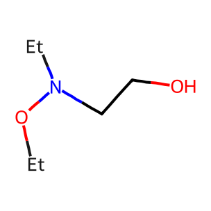 CCON(CC)CCO